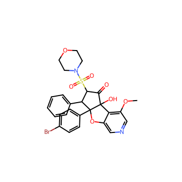 COc1cncc2c1C1(O)C(=O)C(S(=O)(=O)N3CCOCC3)C(c3ccccc3)C1(c1ccc(Br)cc1)O2